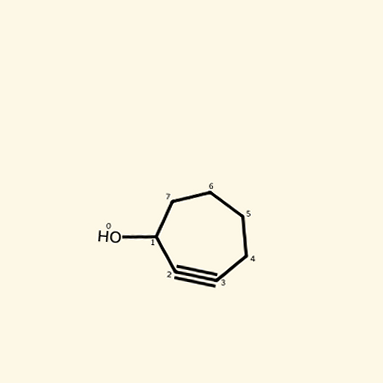 OC1C#CCCCC1